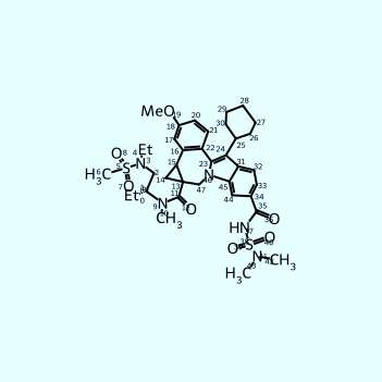 CC[C@H](CN(CC)S(C)(=O)=O)N(C)C(=O)C12CC1c1cc(OC)ccc1-c1c(C3CCCCC3)c3ccc(C(=O)NS(=O)(=O)N(C)C)cc3n1C2